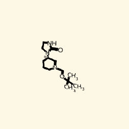 CC(C)(C)OCN1CCC[C@@H](N2CCNC2=O)C1